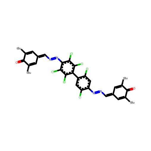 CC(C)(C)C1=CC(=C/N=N/c2cc(Cl)c(-c3c(Cl)c(Cl)c(/N=N/C=C4C=C(C(C)(C)C)C(=O)C(C(C)(C)C)=C4)c(Cl)c3Cl)cc2Cl)C=C(C(C)(C)C)C1=O